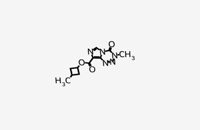 CC1CC(OC(=O)c2ncn3c(=O)n(C)nnc23)C1